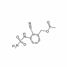 CC(=O)OCc1cccc(NS(N)(=O)=O)c1C#N